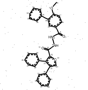 COc1ccc(C(=O)NNC(=O)c2occ(-c3ccccc3)c2-c2ccccc2)cc1-c1ccccc1